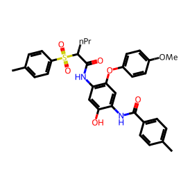 CCCC(C(=O)Nc1cc(O)c(NC(=O)c2ccc(C)cc2)cc1Oc1ccc(OC)cc1)S(=O)(=O)c1ccc(C)cc1